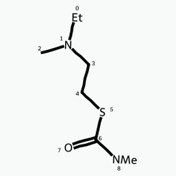 CCN(C)CCSC(=O)NC